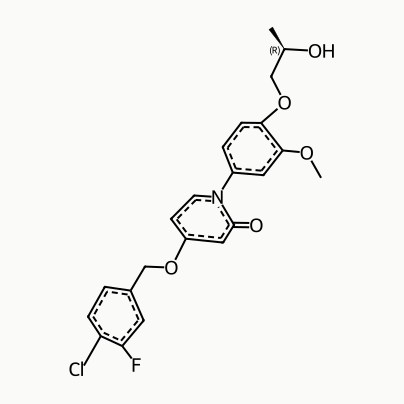 COc1cc(-n2ccc(OCc3ccc(Cl)c(F)c3)cc2=O)ccc1OC[C@@H](C)O